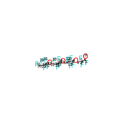 O=C(F)C(F)(F)COC(F)(F)C(F)(F)COC(F)(F)C(F)(F)COC(F)(F)C(F)(F)CF